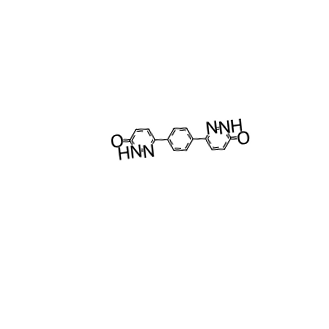 O=c1ccc(-c2ccc(-c3ccc(=O)[nH]n3)cc2)n[nH]1